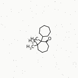 CC1(C)CCCCC(=O)C1(C)C1CCCCCC1